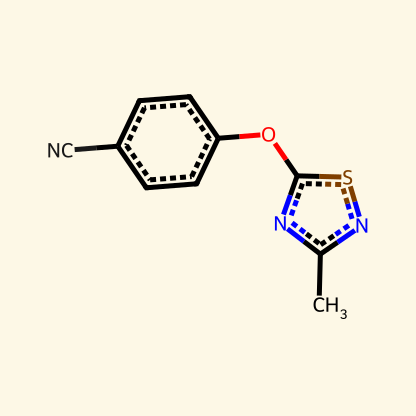 Cc1nsc(Oc2ccc(C#N)cc2)n1